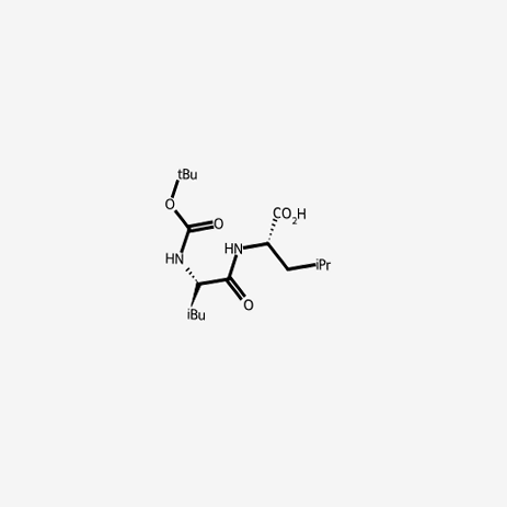 CC[C@H](C)[C@H](NC(=O)OC(C)(C)C)C(=O)N[C@@H](CC(C)C)C(=O)O